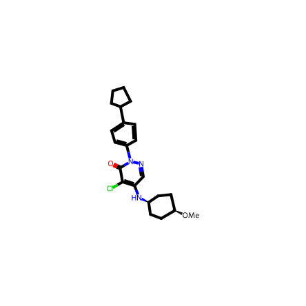 CO[C@H]1CC[C@@H](Nc2cnn(-c3ccc(C4CCCC4)cc3)c(=O)c2Cl)CC1